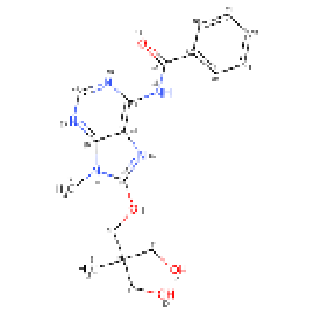 Cn1c(OCC(C)(CO)CO)nc2c(NC(=O)c3ccccc3)ncnc21